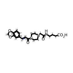 O=C(O)CCCNC(=O)CN1CCN(C(=O)/C=C/c2ccc3c(c2)OCO3)CC1